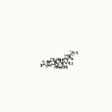 CCc1cc(Nc2nccn3c(-c4cn(CC(F)F)nc4C(F)(F)F)cnc23)ccc1C(=O)NC1CNC1.O=CO